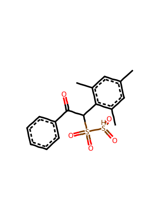 Cc1cc(C)c(C(C(=O)c2ccccc2)S(=O)(=O)[SH](=O)=O)c(C)c1